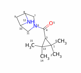 CC1(C)C(C(=O)N2CC3CC(C2)N3)C1(C)C